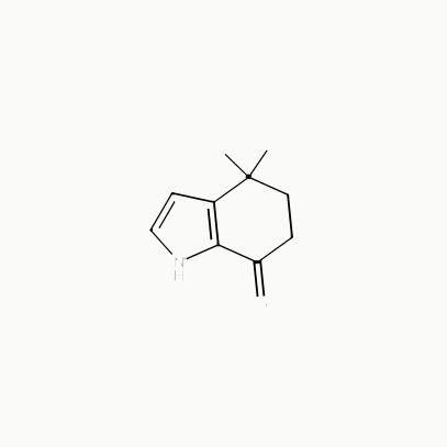 CC1(C)CCC(=O)c2[nH]ccc21